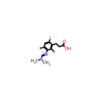 CN(C)/C=N/c1c(I)cc(I)c(CCC(=O)O)c1I